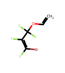 C=COC(F)(F)C(F)=C(F)Br